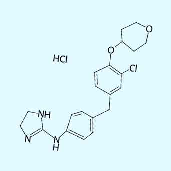 Cl.Clc1cc(Cc2ccc(NC3=NCCN3)cc2)ccc1OC1CCOCC1